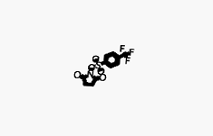 O=C1CCC(=O)N1OS(=O)(=O)c1ccc(C(F)(F)F)cc1